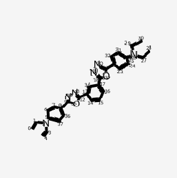 C=CN(C=C)c1ccc(-c2nnc(-c3cccc(-c4nnc(-c5ccc(N(CC)CC)cc5)o4)c3)o2)cc1